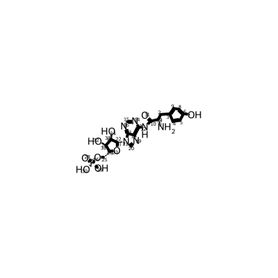 N[C@@H](Cc1ccc(O)cc1)C(=O)Nc1ncnc2c1ncn2[C@@H]1O[C@H](COP(=O)(O)O)[C@@H](O)[C@H]1O